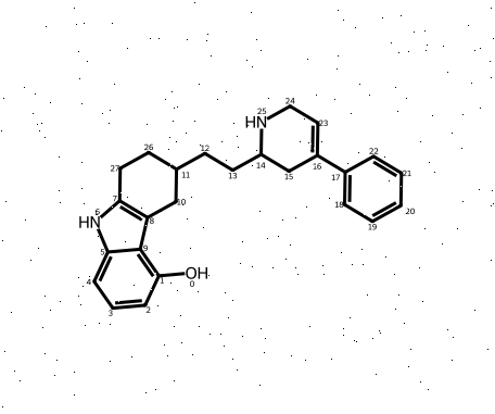 Oc1cccc2[nH]c3c(c12)CC(CCC1CC(c2ccccc2)=CCN1)CC3